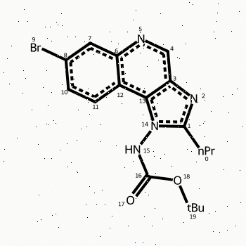 CCCc1nc2cnc3cc(Br)ccc3c2n1NC(=O)OC(C)(C)C